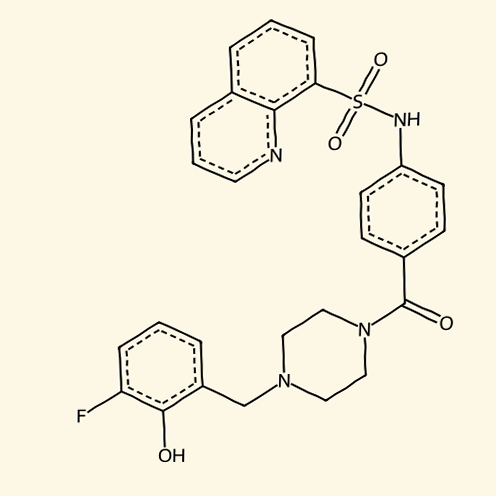 O=C(c1ccc(NS(=O)(=O)c2cccc3cccnc23)cc1)N1CCN(Cc2cccc(F)c2O)CC1